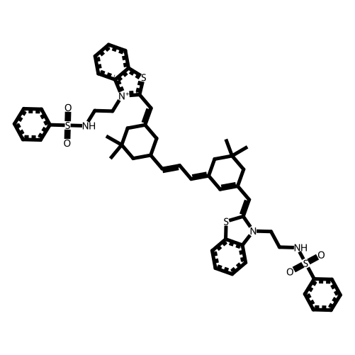 CC1(C)CC(/C=C2\Sc3ccccc3N2CCNS(=O)(=O)c2ccccc2)=CC(=C/C=C/C2C/C(=C/c3sc4ccccc4[n+]3CCNS(=O)(=O)c3ccccc3)CC(C)(C)C2)/C1